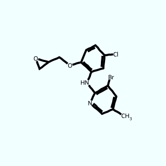 Cc1cnc(Nc2cc(Cl)ccc2OCC2CO2)c(Br)c1